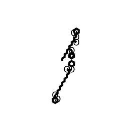 CCCCCCC(CCCC(=O)COC1CCCCO1)Oc1ccc([C@H]2CC[C@H](OC(=O)CCCCCCCCCCCOC3CCCCO3)CC2)cc1